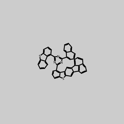 c1ccc2c(-c3nc(-c4cccc5sc6ccccc6c45)nc(-c4cccc5sc6cc7c(cc6c45)-c4cccc5cccc-7c45)n3)cccc2c1